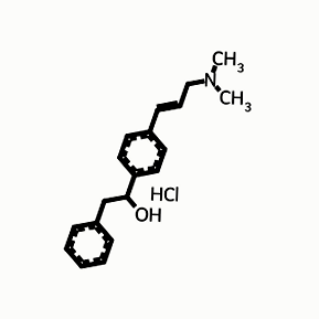 CN(C)CC=Cc1ccc(C(O)Cc2ccccc2)cc1.Cl